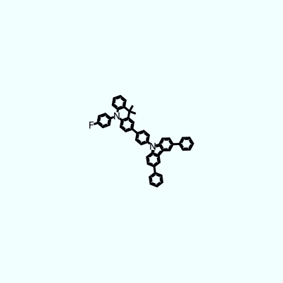 CC1(C)c2ccccc2N(c2ccc(F)cc2)c2ccc(-c3ccc(-n4c5ccc(-c6ccccc6)cc5c5cc(-c6ccccc6)ccc54)cc3)cc21